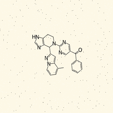 Cc1cccn2nc(C3c4nc[nH]c4CCN3c3ncc(C(=O)c4ccccc4)cn3)cc12